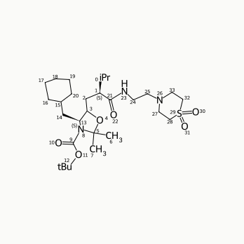 CC(C)[C@H](CC1OC(C)(C)N(C(=O)OC(C)(C)C)[C@H]1CC1CCCCC1)C(=O)NCCN1CCS(=O)(=O)CC1